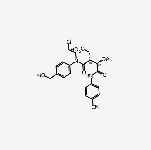 CC(=O)O[C@@H](C(=O)Nc1ccc(C#N)cc1)[C@@H](CC(=O)O)C(=O)N(CCCl)c1ccc(CO)cc1